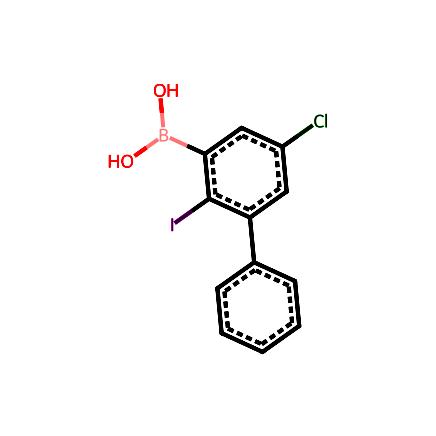 OB(O)c1cc(Cl)cc(-c2ccccc2)c1I